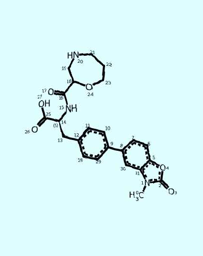 Cn1c(=O)oc2ccc(-c3ccc(C[C@H](NC(=O)C4CNCCCO4)C(=O)O)cc3)cc21